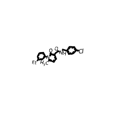 CCc1cccc(-n2c(C)ccc(C(=O)NCc3ccc(Cl)cc3)c2=O)c1